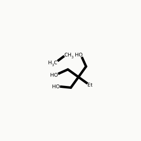 CC.CCC(CO)(CO)CO